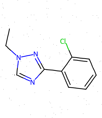 CCn1[c]nc(-c2ccccc2Cl)n1